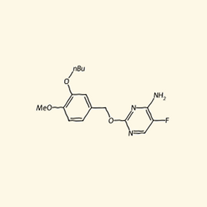 CCCCOc1cc(COc2ncc(F)c(N)n2)ccc1OC